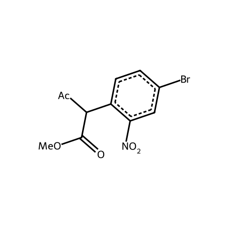 COC(=O)C(C(C)=O)c1ccc(Br)cc1[N+](=O)[O-]